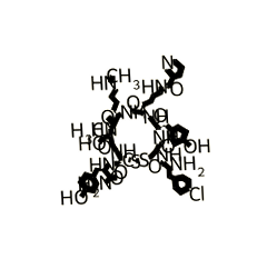 CNCCCC[C@@H]1NC(=O)[C@@H](CCCCNC(=O)c2cccnc2)NC(=O)[C@H](Cc2ccc(O)cc2)NC(=O)[C@H](NC(=O)[C@@H](N)Cc2ccc(Cl)cc2)CSSC[C@@H](C(=O)N[C@H](Cc2ccc(O)cc2)C(N)=O)NC(=O)C(C(C)O)NC1=O